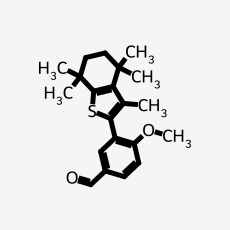 COc1ccc(C=O)cc1-c1sc2c(c1C)C(C)(C)CCC2(C)C